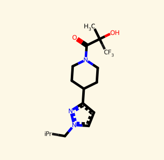 CC(C)Cn1ccc(C2CCN(C(=O)C(C)(O)C(F)(F)F)CC2)n1